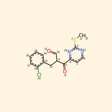 CSc1nccc(C(=O)C(C=O)Cc2ccccc2Cl)n1